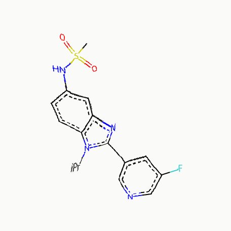 CC(C)n1c(-c2cncc(F)c2)nc2cc(NS(C)(=O)=O)ccc21